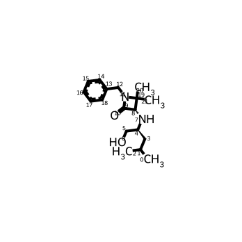 CC(C)C[C@@H](CO)N[C@@H]1C(=O)N(Cc2ccccc2)C1(C)C